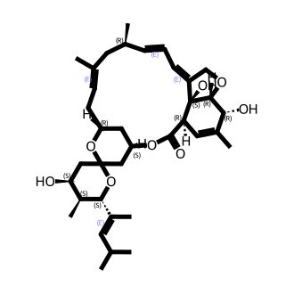 CC1=C[C@H]2C(=O)O[C@H]3C[C@@H](C/C=C(\C)C[C@@H](C)/C=C/C=C4\CO[C@H]([C@@H]1O)[C@@]42O)OC1(C3)C[C@H](O)[C@H](C)[C@@H](/C(C)=C/C(C)C)O1